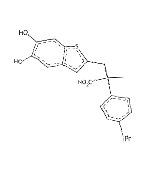 CC(C)c1ccc(C(C)(Cc2cc3cc(O)c(O)cc3s2)C(=O)O)cc1